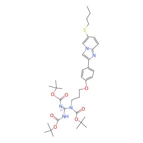 CCCCSc1ccc2nc(-c3ccc(OCCCN(C(=O)OC(C)(C)C)/C(=N\C(=O)OC(C)(C)C)NC(=O)OC(C)(C)C)cc3)cn2c1